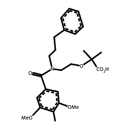 COc1cc(C(=O)N(CCCc2ccccc2)CCOC(C)(C)C(=O)O)cc(OC)c1C